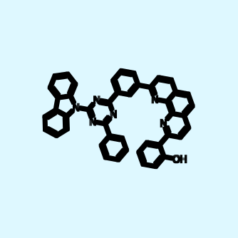 Oc1ccccc1-c1ccc2ccc3ccc(-c4cccc(-c5nc(-c6ccccc6)nc(-n6c7ccccc7c7ccccc76)n5)c4)nc3c2n1